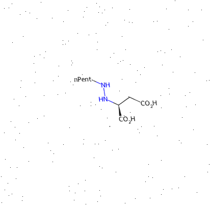 CCCCCNN[C@@H](CC(=O)O)C(=O)O